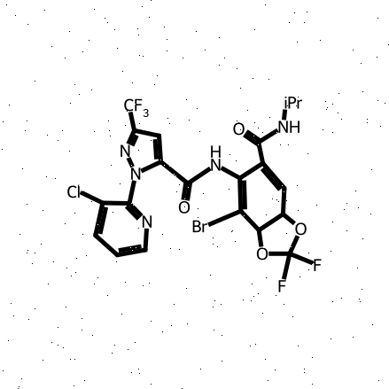 CC(C)NC(=O)C1=CC2OC(F)(F)OC2C(Br)=C1NC(=O)c1cc(C(F)(F)F)nn1-c1ncccc1Cl